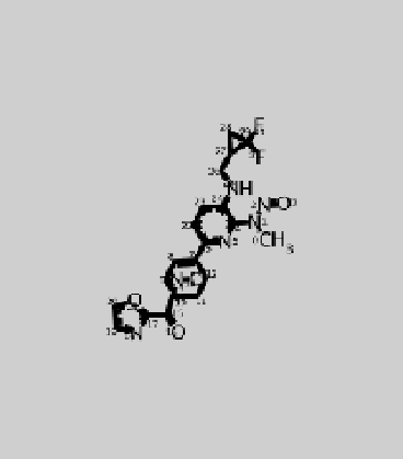 CN(N=O)c1nc(C2=CC3CCC2CN3C(=O)c2ncco2)ccc1NCC1CC1(F)F